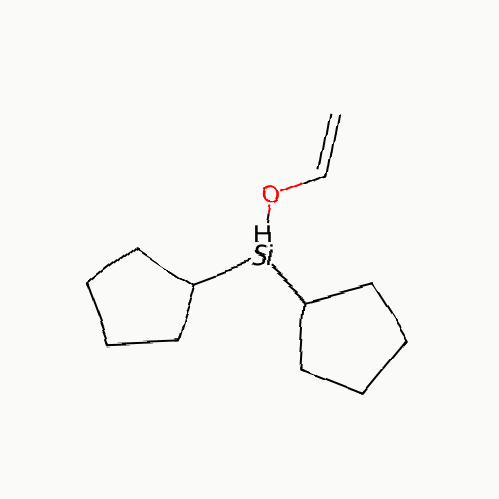 C=CO[SiH](C1CCCC1)C1CCCC1